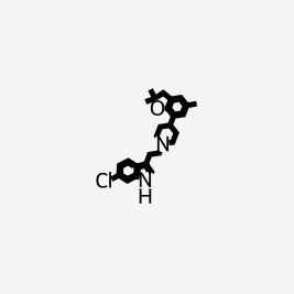 Cc1cc2c(c(C3CCN(CCc4c[nH]c5cc(Cl)ccc45)CC3)c1)OC(C)(C)C2